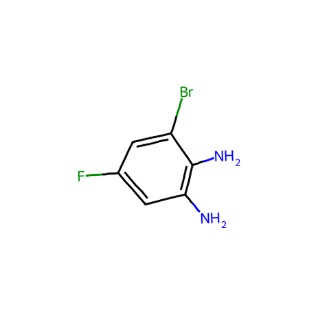 Nc1cc(F)cc(Br)c1N